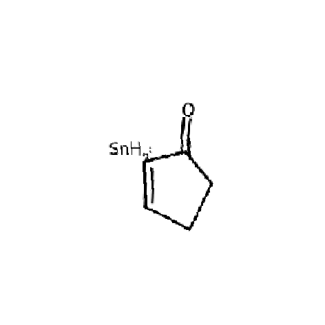 O=C1C=CCC1.[SnH2]